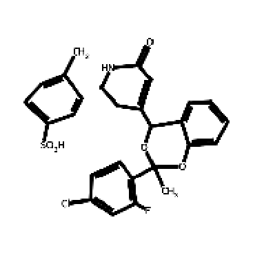 CC1(c2ccc(Cl)cc2F)Oc2ccccc2C(C2=CC(=O)NCC2)O1.Cc1ccc(S(=O)(=O)O)cc1